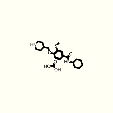 CSc1cc(C(=O)NC2CCCCC2)ccc1OCC1CCNCC1.O=C(O)O